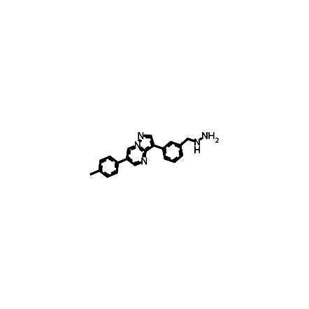 Cc1ccc(-c2cnc3c(-c4cccc(CNN)c4)cnn3c2)cc1